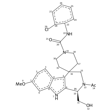 COc1ccc2c3c([nH]c2c1)[C@H](CO)N(C(C)=O)CC31CCN(C(=O)Nc2ccccc2Cl)CC1